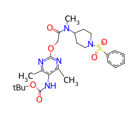 Cc1nc(OCC(=O)N(C)C2CCN(S(=O)(=O)c3ccccc3)CC2)nc(C)c1NC(=O)OC(C)(C)C